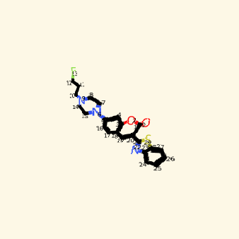 O=c1oc2cc(N3CCN(CCCF)CC3)ccc2cc1-c1nc2ccccc2s1